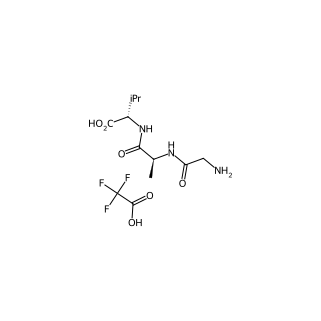 CC(C)[C@H](NC(=O)[C@H](C)NC(=O)CN)C(=O)O.O=C(O)C(F)(F)F